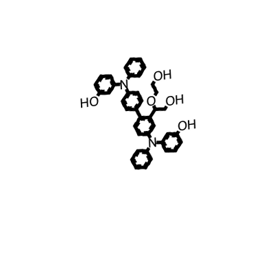 OCCOC(CO)c1cc(N(c2ccccc2)c2cccc(O)c2)ccc1-c1ccc(N(c2ccccc2)c2cccc(O)c2)cc1